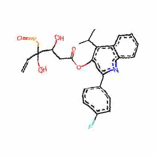 C=CC(O)(P=O)C(O)CC(=O)Oc1c(-c2ccc(F)cc2)nc2ccccc2c1C(C)C